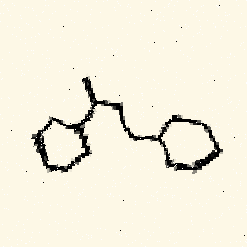 C=C(CCC1CC=CCC1)C1CC=CCC1